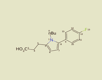 CCCCn1c(CCC(=O)O)ccc1-c1ccc(F)cc1